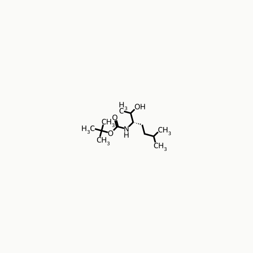 CC(C)CC[C@H](NC(=O)OC(C)(C)C)C(C)O